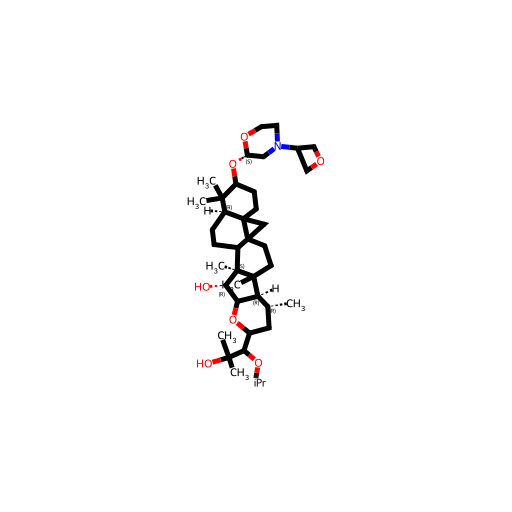 CC(C)OC(C1C[C@@H](C)[C@H]2C(O1)[C@H](O)[C@@]1(C)C3CC[C@H]4C(C)(C)C(O[C@H]5CN(C6COC6)CCO5)CCC45CC35CCC21C)C(C)(C)O